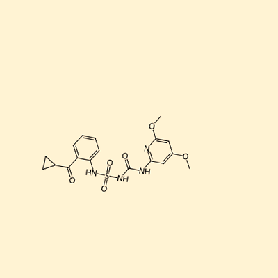 COc1cc(NC(=O)NS(=O)(=O)Nc2ccccc2C(=O)C2CC2)nc(OC)c1